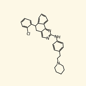 Clc1ccccc1C1Cc2cnc(Nc3ccc(CCN4CCCCC4)cc3)nc2-c2ccccc21